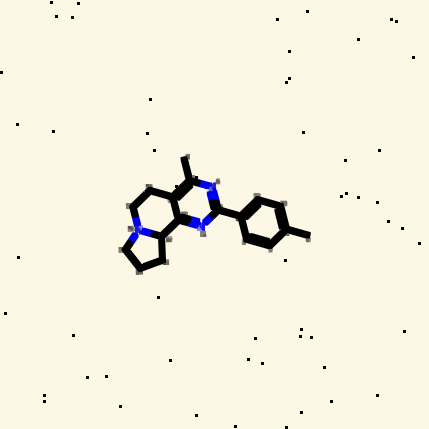 Cc1ccc(-c2nc(C)c3c(n2)C2CCCN2CC3)cc1